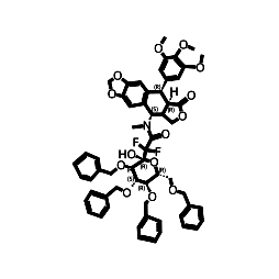 COc1cc([C@@H]2c3cc4c(cc3[C@@H](N(C)C(=O)C(F)(F)[C@]3(O)O[C@H](COCc5ccccc5)[C@@H](OCc5ccccc5)[C@H](OCc5ccccc5)[C@H]3OCc3ccccc3)C3COC(=O)[C@@H]32)OCO4)cc(OC)c1OC